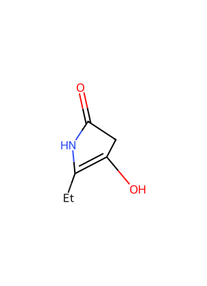 CCC1=C(O)CC(=O)N1